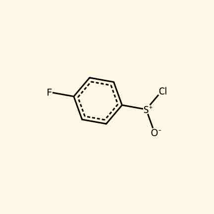 [O-][S+](Cl)c1ccc(F)cc1